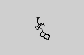 O=C(CC1C=Cc2ccccc21)NCC1CC1